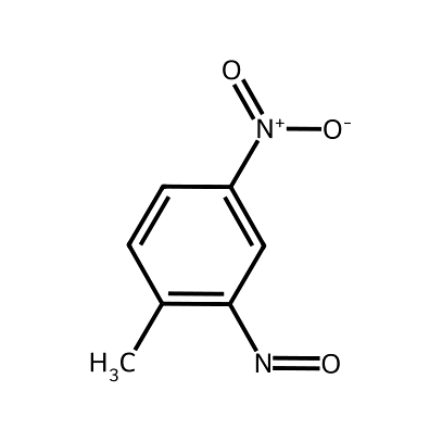 Cc1ccc([N+](=O)[O-])cc1N=O